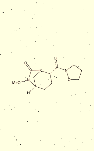 CON1C(=O)N2C[C@H]1CC[C@H]2C(=O)N1CCCO1